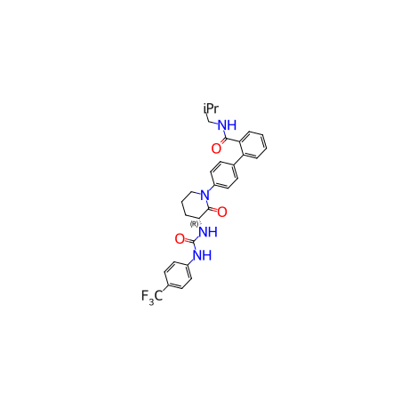 CC(C)CNC(=O)c1ccccc1-c1ccc(N2CCC[C@@H](NC(=O)Nc3ccc(C(F)(F)F)cc3)C2=O)cc1